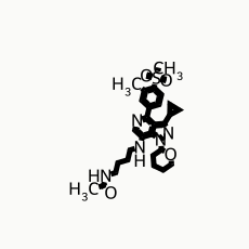 CC(=O)NCCCCNc1cnc(-c2ccc(S(C)(=O)=O)c(C)c2)c2c(C3CC3)nn(C3CCCCO3)c12